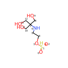 O=[SH](=O)OCCNC(CO)(CO)CO